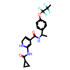 CC(NC(=O)C1=CCNC(NC(=O)C2CC2)=C1)c1ccc(OC(F)(F)C(C)(F)F)cc1